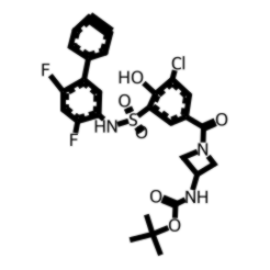 CC(C)(C)OC(=O)NC1CN(C(=O)c2cc(Cl)c(O)c(S(=O)(=O)Nc3cc(-c4cc#ccc4)c(F)cc3F)c2)C1